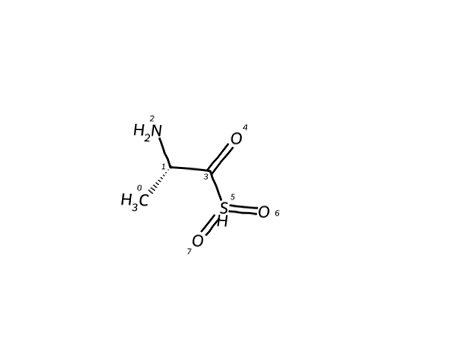 C[C@H](N)C(=O)[SH](=O)=O